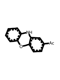 CC(=O)c1ccc2c(c1)Nc1ccccc1O2